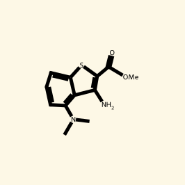 COC(=O)c1sc2cccc(N(C)C)c2c1N